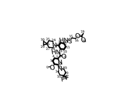 COc1ccc(C(=O)Nc2ccc(NSCCOC(C)=O)cc2N2CCC3(CC2)CC3)nc1N1CCC(F)(F)CC1